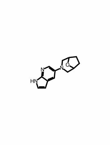 c1cc2cc(N3CC4CCC(C3)O4)cnc2[nH]1